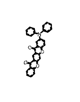 O=c1c2ccccc2oc2cc3oc4ccc(N(c5ccccc5)c5ccccc5)cc4c(=O)c3cc12